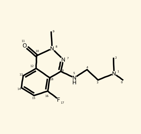 CN(C)CCNc1nn(C)c(=O)c2cccc(F)c12